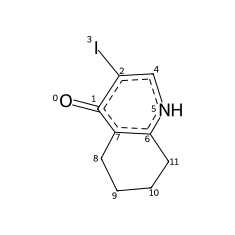 O=c1c(I)c[nH]c2c1CCCC2